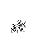 C=C[Si](OC(=C)C)(OC(=C)C)OC(=C)C(OC(=C)C)(OC(=C)C)OC(=C)C